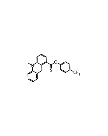 CN1c2ccccc2Cc2c(C(=S)Oc3ccc(C(F)(F)F)cc3)cccc21